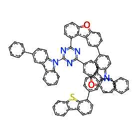 c1ccc(-c2ccc3c(c2)c2ccccc2n3-c2nc(-c3ccc4c(c3)oc3ccccc34)nc(-c3cccc4oc5ccc(-c6ccc7c(c6)c6ccc(-c8cccc9c8sc8ccccc89)cc6n7-c6ccccc6)cc5c34)n2)cc1